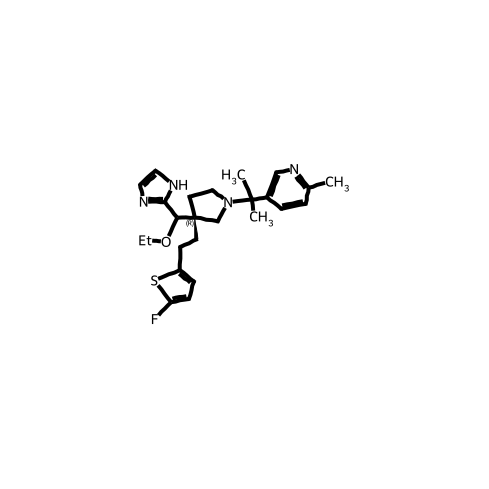 CCOC(c1ncc[nH]1)[C@]1(CCc2ccc(F)s2)CCN(C(C)(C)c2ccc(C)nc2)C1